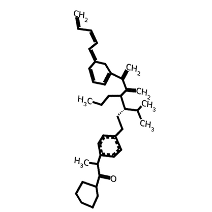 C=C/C=C\C=C1\C=CC=C(C(=C)C(=C)C(CCC)[C@@H](CCc2ccc(C(C)C(=O)C3CCCCC3)cc2)C(C)C)C1